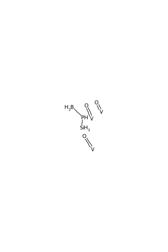 BP[SiH3].[O]=[V].[O]=[V].[O]=[V]